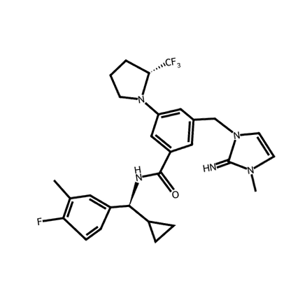 Cc1cc([C@@H](NC(=O)c2cc(Cn3ccn(C)c3=N)cc(N3CCC[C@@H]3C(F)(F)F)c2)C2CC2)ccc1F